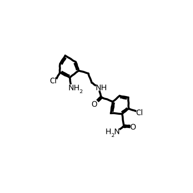 NC(=O)c1cc(C(=O)NCCc2cccc(Cl)c2N)ccc1Cl